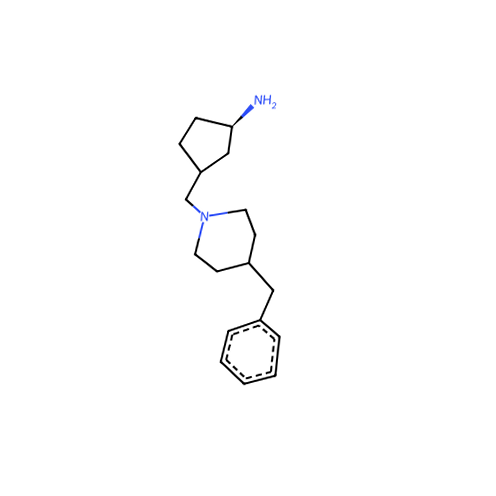 N[C@@H]1CCC(CN2CCC(Cc3ccccc3)CC2)C1